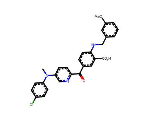 COc1cccc(CNc2ccc(C(=O)c3ccc(N(C)c4ccc(Cl)cc4)cn3)cc2C(=O)O)c1